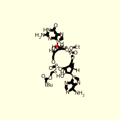 CCO[P@@]1(=O)OCC23C[C@@H]2[C@@H](n2cnc4c(N)ncnc42)[C@H](O)[C@@H]3O[P@](=O)(SCOC(=O)C(C)(C)C)OC[C@H]2O[C@@H](n3cnc4c(=O)[nH]c(N)nc43)[C@H](O1)[C@@H]2OC